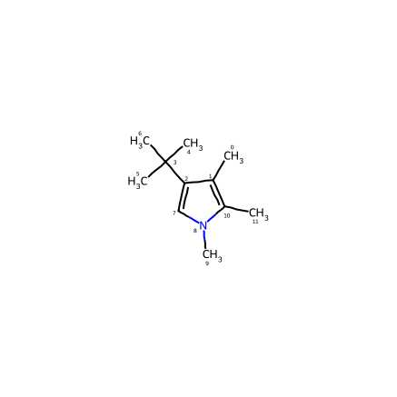 Cc1c(C(C)(C)C)cn(C)c1C